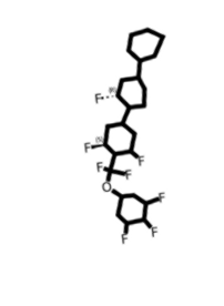 FC1CC(OC(F)(F)C2C(F)CC(C3CCC(C4CCCCC4)C[C@H]3F)C[C@@H]2F)CC(F)C1F